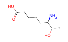 C[C@H](O)[C@H](N)CCCCC(=O)O